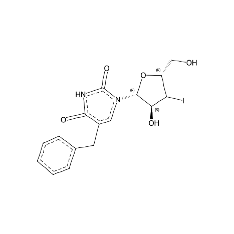 O=c1[nH]c(=O)n([C@@H]2O[C@H](CO)C(I)[C@H]2O)cc1Cc1ccccc1